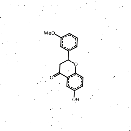 COc1cccc(C2CC(=O)c3cc(O)ccc3O2)c1